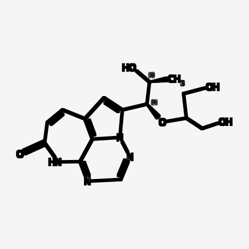 C[C@H](O)[C@@H](OC(CO)CO)c1cc2c3c(ncnn13)NC(=O)C=C2